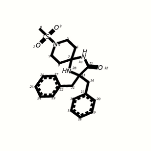 CS(=O)(=O)N1CCC2(CC1)NC(=O)C(Cc1ccccc1)(Cc1ccccc1)N2